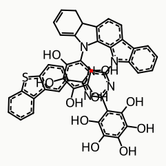 Oc1c(O)c(O)c(-c2nc(-c3ccc4sc5ccccc5c4c3)nc(-n3c4ccccc4c4ccc5c(c43)N(c3c(O)c(O)c(O)c(O)c3O)C3=CC=CCC35)n2)c(O)c1O